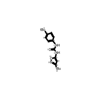 CC(C)(C)c1ccc(NC(=O)Nc2cc(C(C)(C)C)no2)cc1